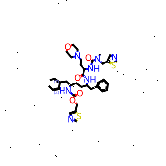 C/C=C\C(=C/C)CC(CCC(Cc1ccccc1)NC(=O)C(CCN1CCOCC1)NC(=O)N(C)Cc1cncs1)NC(=O)OCc1cncs1